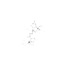 CC(CCC(C)(C)N1CC2CC2C1C(C)(C)C)C1SCCN1C(C)(C)C